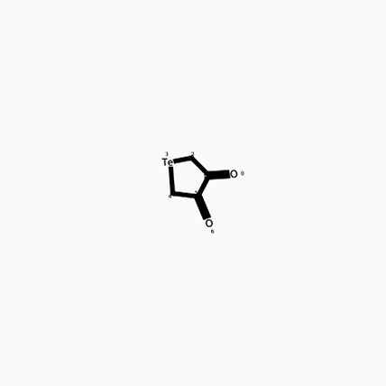 O=C1C[Te]CC1=O